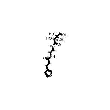 CC(C)(CO)[C@@H](O)C(=O)NCCNC(=O)CCc1ccsc1